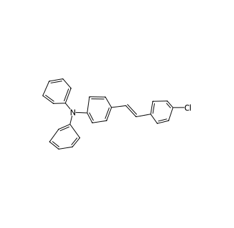 Clc1ccc(C=Cc2ccc(N(c3ccccc3)c3ccccc3)cc2)cc1